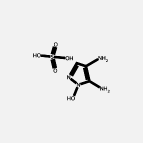 Nc1cnn(O)c1N.O=S(=O)(O)O